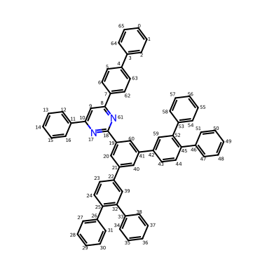 c1ccc(-c2ccc(-c3cc(-c4ccccc4)nc(-c4cc(-c5ccc(-c6ccccc6)c(-c6ccccc6)c5)cc(-c5ccc(-c6ccccc6)c(-c6ccccc6)c5)c4)n3)cc2)cc1